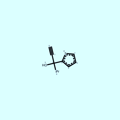 C#CC(O)(c1cccs1)C(C)C